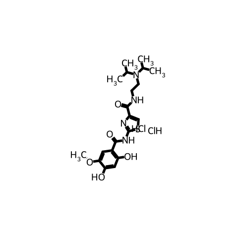 COc1cc(C(=O)Nc2nc(C(=O)NCCN(C(C)C)C(C)C)cs2)c(O)cc1O.Cl.Cl